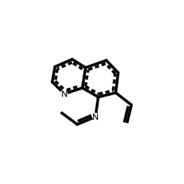 C=Cc1ccc2cccnc2c1/N=C\C